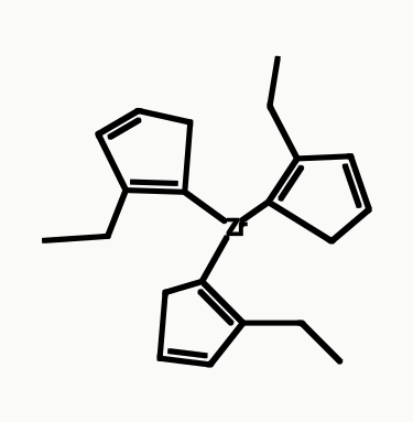 CCC1=[C]([Zr]([C]2=C(CC)C=CC2)[C]2=C(CC)C=CC2)CC=C1